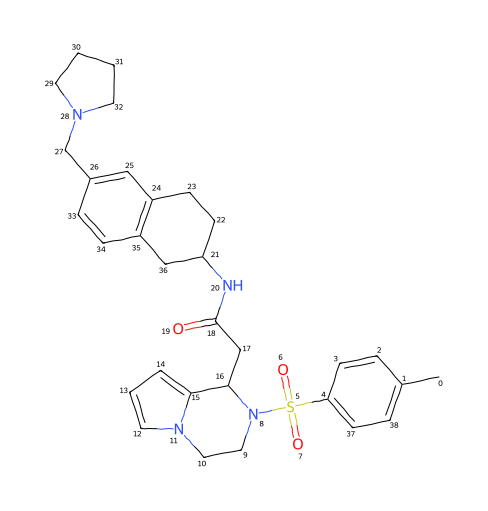 Cc1ccc(S(=O)(=O)N2CCn3cccc3C2CC(=O)NC2CCc3cc(CN4CCCC4)ccc3C2)cc1